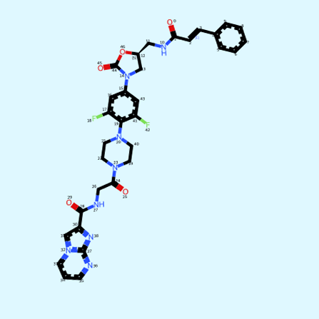 O=C(/C=C/c1ccccc1)NC[C@H]1CN(c2cc(F)c(N3CCN(C(=O)CNC(=O)c4cn5cccnc5n4)CC3)c(F)c2)C(=O)O1